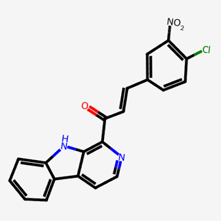 O=C(/C=C/c1ccc(Cl)c([N+](=O)[O-])c1)c1nccc2c1[nH]c1ccccc12